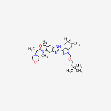 Cc1cc2[nH]c(-c3nn(COCC[Si](C)(C)C)c4c3C[C@@H]3C[C@]3(C)C4)nc2cc1N(C)C(=O)[C@@H](C)N1CCOCC1